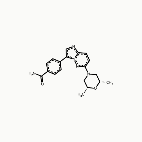 C[C@@H]1CN(c2ccc3ncc(-c4ccc(C(N)=O)cc4)n3n2)C[C@H](C)O1